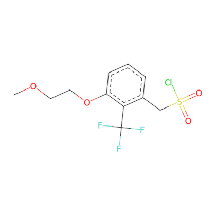 COCCOc1cccc(CS(=O)(=O)Cl)c1C(F)(F)F